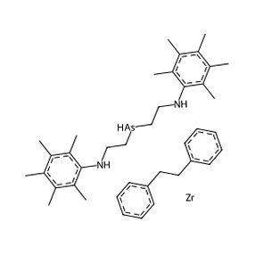 Cc1c(C)c(C)c(NCC[AsH]CCNc2c(C)c(C)c(C)c(C)c2C)c(C)c1C.[Zr].c1ccc(CCc2ccccc2)cc1